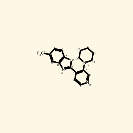 FC(F)(F)c1ccc2oc(-c3ccncc3N3CCCCC3)nc2c1